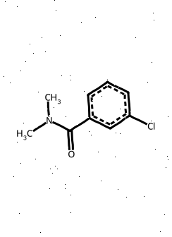 CN(C)C(=O)c1c[c]cc(Cl)c1